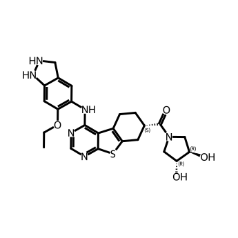 CCOc1cc2c(cc1Nc1ncnc3sc4c(c13)CC[C@H](C(=O)N1C[C@@H](O)[C@H](O)C1)C4)CNN2